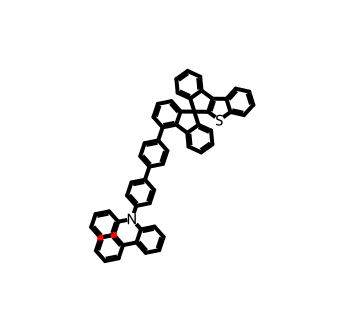 c1ccc(-c2ccccc2N(c2ccccc2)c2ccc(-c3ccc(-c4cccc5c4-c4ccccc4C54c5ccccc5-c5c4sc4ccccc54)cc3)cc2)cc1